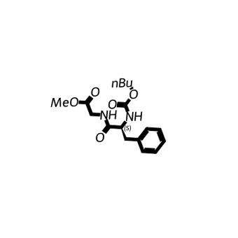 CCCCOC(=O)N[C@@H](Cc1ccccc1)C(=O)NCC(=O)OC